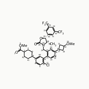 COC(=O)C1CCC(c2ccc(Cl)c(-c3cnc(N4CC(OC)C4)nc3CN3C(=O)O[C@H](c4cc(C(F)(F)F)cc(C(F)(F)F)c4)[C@@H]3C)c2)CC1